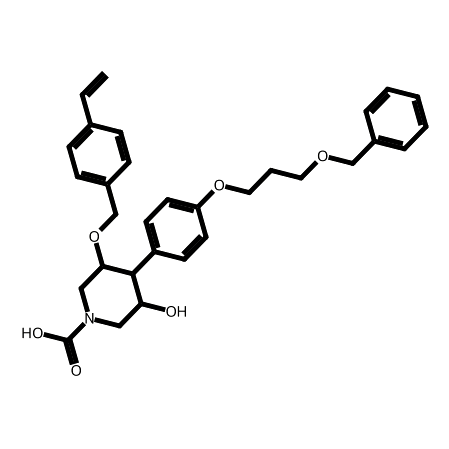 C=Cc1ccc(COC2CN(C(=O)O)CC(O)C2c2ccc(OCCCOCc3ccccc3)cc2)cc1